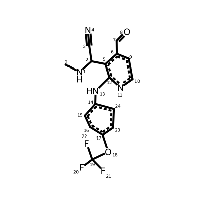 CNC(C#N)c1c(C=O)ccnc1Nc1ccc(OC(F)(F)F)cc1